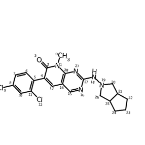 Cn1c(=O)c(-c2ccc(Cl)cc2Cl)cc2cnc(NN3CC4CCCC4C3)nc21